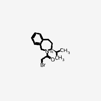 CC(C)[C@@H]1CCc2ccccc2CN1C(=O)CBr